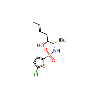 C/C=C/C[C@H](O)[C@@H](NS(=O)(=O)c1ccc(Cl)s1)[C@@H](C)CC